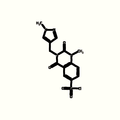 Cn1cc(Cn2c(=O)c3cc(S(=O)(=O)Cl)ccc3n(C)c2=O)cn1